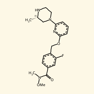 CON(C)C(=O)c1ccc(COc2cccc(N3CCN[C@@H](C)C3)n2)c(F)c1